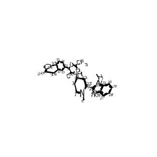 CN1CC[C@@H](NC(=O)C(OC(=O)C(F)(F)F)c2ccc3c(c2)CCO3)C[C@@H]1c1nc2ccccc2[nH]1